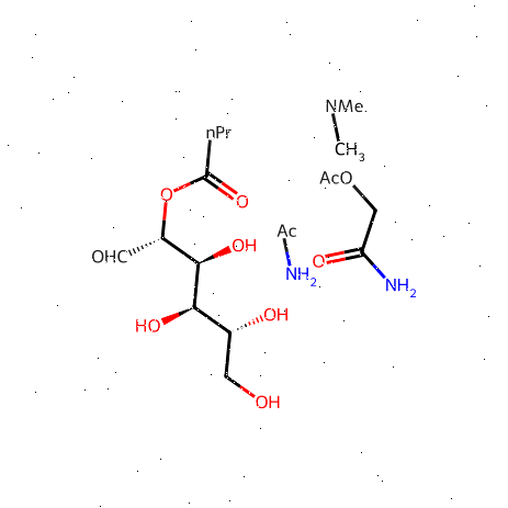 CC(=O)OCC(N)=O.CC(N)=O.CCCC(=O)O[C@@H](C=O)[C@@H](O)[C@H](O)[C@H](O)CO.CNC